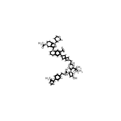 CC(=O)N1CCc2c(c(N3CCCc4cc(C5CC6(C5)CN(CC(=O)N[C@H](C(=O)N5C[C@H](O)C[C@H]5C(=O)NCc5ccc(-c7scnc7C)cc5)C(C)(C)C)C6)c(C(F)F)cc43)nn2C2CCOCC2)C1